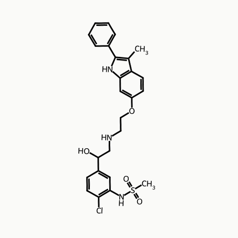 Cc1c(-c2ccccc2)[nH]c2cc(OCCNCC(O)c3ccc(Cl)c(NS(C)(=O)=O)c3)ccc12